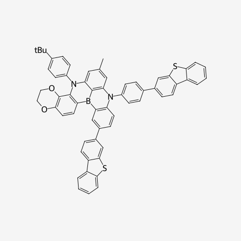 Cc1cc2c3c(c1)N(c1ccc(C(C)(C)C)cc1)c1c(ccc4c1OCCO4)B3c1cc(-c3ccc4c(c3)sc3ccccc34)ccc1N2c1ccc(-c2ccc3c(c2)sc2ccccc23)cc1